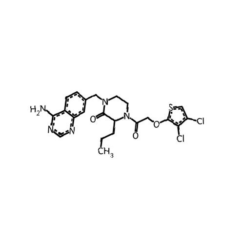 CCCC1C(=O)N(Cc2ccc3c(N)ncnc3c2)CCN1C(=O)COc1scc(Cl)c1Cl